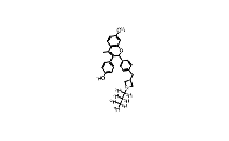 [2H]C([2H])([2H])C([2H])([2H])C([2H])([2H])N1CC(Cc2ccc(C3Oc4cc(O)ccc4C(C)=C3c3ccc(O)cc3)cc2)C1